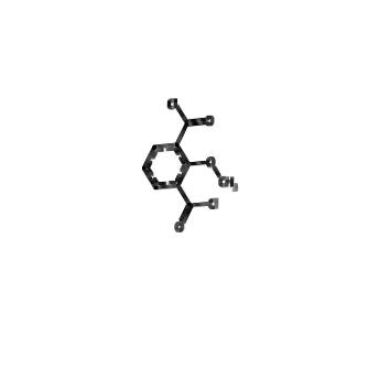 COc1c(C(=O)Cl)cccc1C(=O)Cl